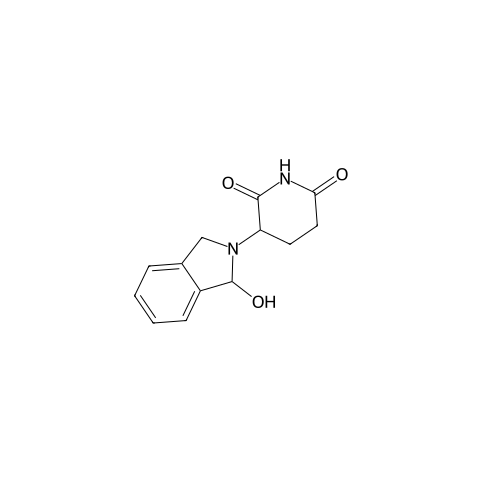 O=C1CCC(N2Cc3ccccc3C2O)C(=O)N1